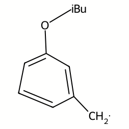 [CH2]c1cccc(OC(C)CC)c1